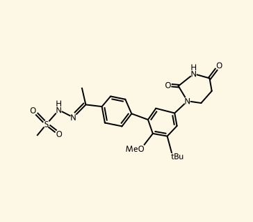 COc1c(-c2ccc(C(C)=NNS(C)(=O)=O)cc2)cc(N2CCC(=O)NC2=O)cc1C(C)(C)C